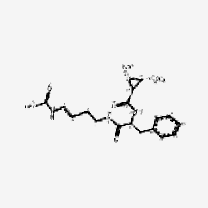 CCCC(=O)NCCCCNC(=O)[C@H](Cc1ccccc1)NC(=O)[C@H]1O[C@@H]1C(=O)[O-].[Na+]